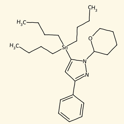 CCC[CH2][Sn]([CH2]CCC)([CH2]CCC)[c]1cc(-c2ccccc2)nn1C1CCCCO1